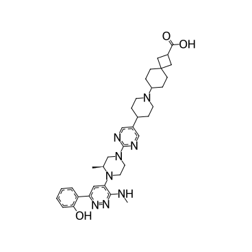 CNc1nnc(-c2ccccc2O)cc1N1CCN(c2ncc(C3CCN(C4CCC5(CC4)CC(C(=O)O)C5)CC3)cn2)C[C@@H]1C